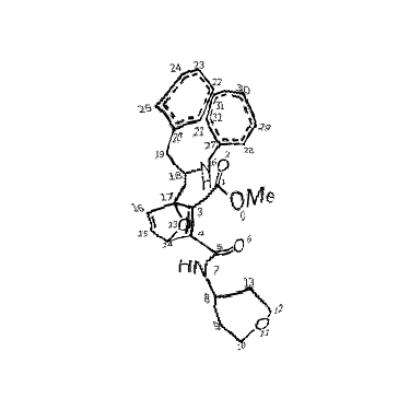 COC(=O)C1=C(C(=O)NC2CCOCC2)C2C=CC1(C(Cc1ccccc1)Nc1ccccc1)O2